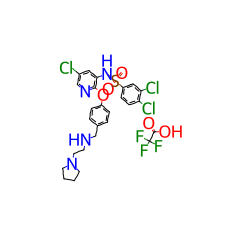 O=C(O)C(F)(F)F.O=S(=O)(Nc1cc(Cl)cnc1Oc1ccc(CNCCN2CCCC2)cc1)c1ccc(Cl)c(Cl)c1